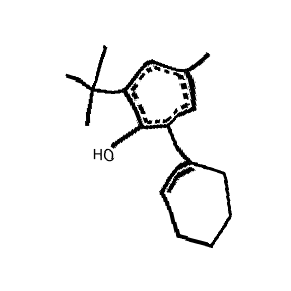 Cc1cc(C2=CCCCC2)c(O)c(C(C)(C)C)c1